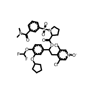 CN(C)C(=O)c1cccc(S(=O)(=O)N2CCCC2C(=O)OC(Cc2c(Cl)c[n+]([O-])cc2Cl)c2ccc(OC(F)F)c(OC3CCCC3)c2)c1